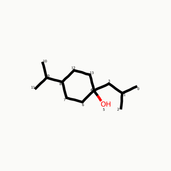 CC(C)CC1(O)CCC(C(C)C)CC1